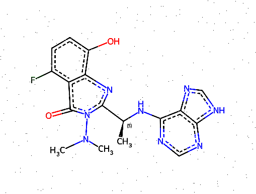 C[C@H](Nc1ncnc2[nH]cnc12)c1nc2c(O)ccc(F)c2c(=O)n1N(C)C